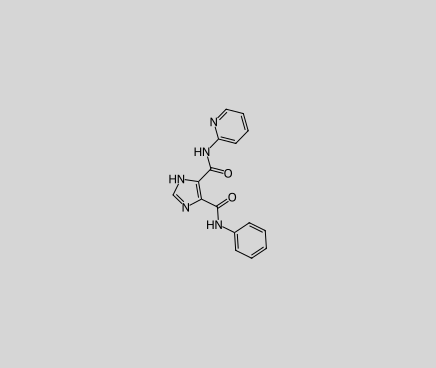 O=C(Nc1ccccc1)c1nc[nH]c1C(=O)Nc1ccccn1